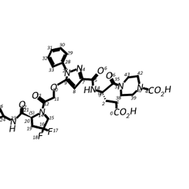 O=C(O)CC[C@H](NC(=O)c1cc(OCC(=O)N2CC(F)(F)C[C@H]2C(=O)NC2CC2)n(-c2ccccc2)n1)C(=O)N1CCN(C(=O)O)CC1